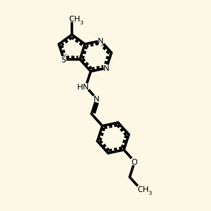 CCOc1ccc(C=NNc2ncnc3c(C)csc23)cc1